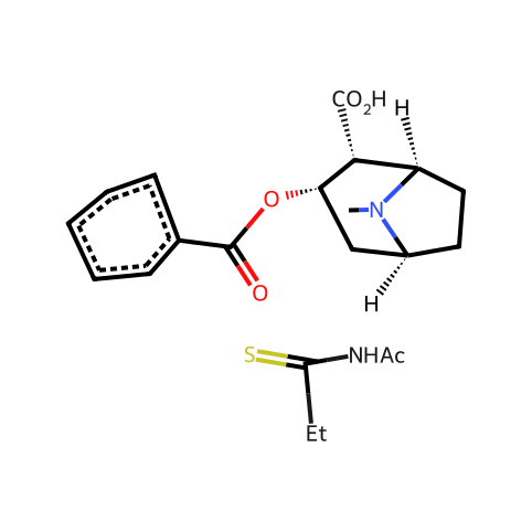 CCC(=S)NC(C)=O.CN1[C@H]2CC[C@@H]1[C@@H](C(=O)O)[C@@H](OC(=O)c1ccccc1)C2